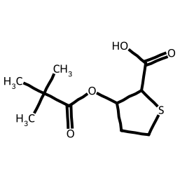 CC(C)(C)C(=O)OC1CCSC1C(=O)O